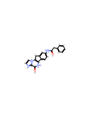 O=C(Cc1ccccc1)Nc1ccc2c(c1)Cc1c-2[nH]c(=O)c2nccn12